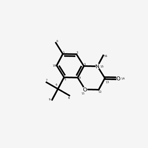 Cc1cc2c(c(C(C)(C)C)c1)OCC(=O)N2C